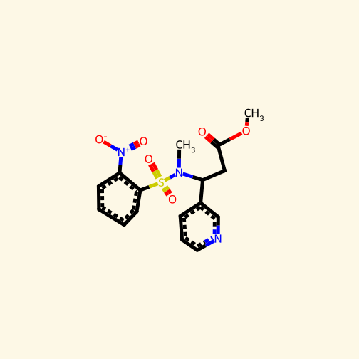 COC(=O)CC(c1cccnc1)N(C)S(=O)(=O)c1ccccc1[N+](=O)[O-]